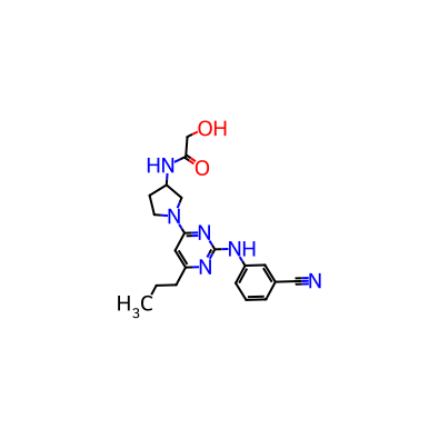 CCCc1cc(N2CCC(NC(=O)CO)C2)nc(Nc2cccc(C#N)c2)n1